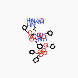 N=C(NCCC[C@H](NC(=O)[C@H](Cc1ccc(OP(=O)(OCc2ccccc2)OCc2ccccc2)c(OCc2ccccc2)c1)NC(=O)OCc1ccccc1)C(=O)OCc1ccccc1)N[NH2+][O-]